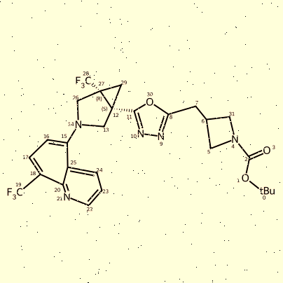 CC(C)(C)OC(=O)N1CC(Cc2nnc([C@]34CN(c5ccc(C(F)(F)F)c6ncccc56)C[C@@]3(C(F)(F)F)C4)o2)C1